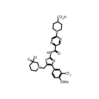 CCC1(F)CCCN(Cc2sc(NC(=O)c3cnc(N4CCC(C(=O)O)CC4)cn3)nc2-c2ccc(OC)c(C(F)(F)F)c2)C1